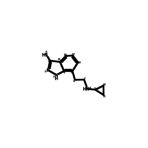 Sc1n[nH]c2c(CCNC3CC3)cccc12